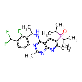 Cc1nc(NC(C)c2cccc(C(F)F)c2F)c2cc(P(=O)(C(C)C)C(C)C)c(C)nc2n1